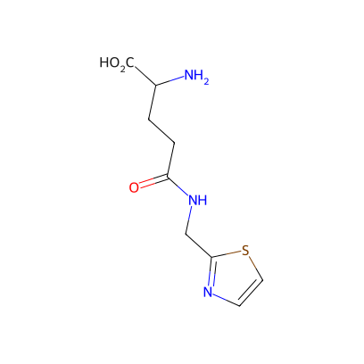 NC(CCC(=O)NCc1nccs1)C(=O)O